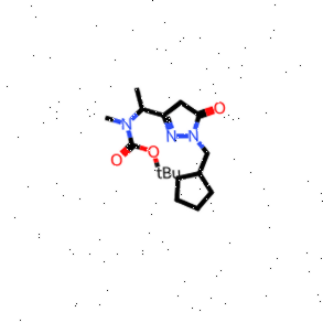 CC(C1=NN(CC2CCCC2)C(=O)C1)N(C)C(=O)OC(C)(C)C